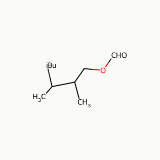 CCC(C)C(C)C(C)COC=O